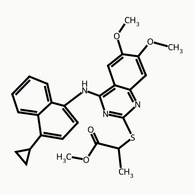 COC(=O)C(C)Sc1nc(Nc2ccc(C3CC3)c3ccccc23)c2cc(OC)c(OC)cc2n1